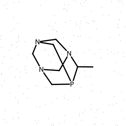 CC1N2CN3CN(C2)CP1C3